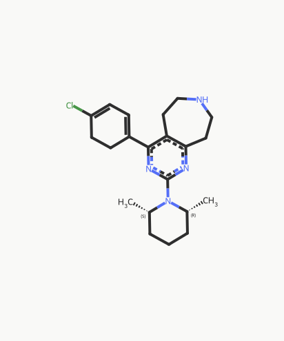 C[C@@H]1CCC[C@H](C)N1c1nc2c(c(C3=CC=C(Cl)CC3)n1)CCNCC2